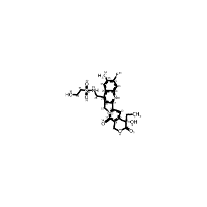 CC[C@@]1(O)C(=O)OCc2c1cc1n(c2=O)Cc2c-1nc1cc(F)c(C)cc1c2CNS(=O)(=O)CCO